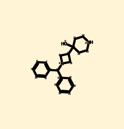 OC1(C2CN(C(c3ccccc3)c3ccccc3)C2)CCNCC1